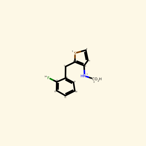 O=C(O)Nc1ccsc1Cc1ccccc1F